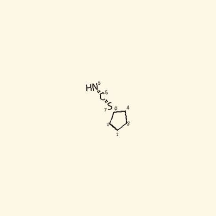 C1CCCC1.N=C=S